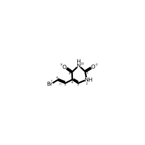 O=c1[nH]cc(/C=C/Br)c(=O)[nH]1